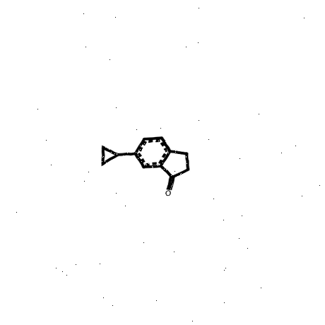 O=C1CCc2ccc(C3CC3)cc21